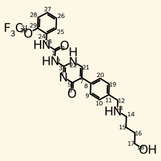 O=C(Nc1nc(=O)c(-c2ccc(CNCCCCO)cc2)c[nH]1)Nc1ccccc1OC(F)(F)F